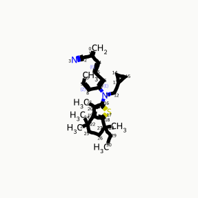 C=C(C#N)/C=C/C=C(\C=C/C)N(CC1CC1)c1sc2c(c1C)C(C)(C)CCC2(C)CC